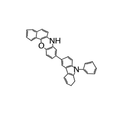 C1=Cc2c(n(-c3ccccc3)c3ccc(-c4ccc5c(c4)Nc4ccc6ccccc6c4O5)cc23)CC1